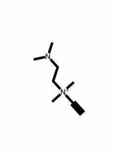 C#C[N+](C)(C)CCN(C)C